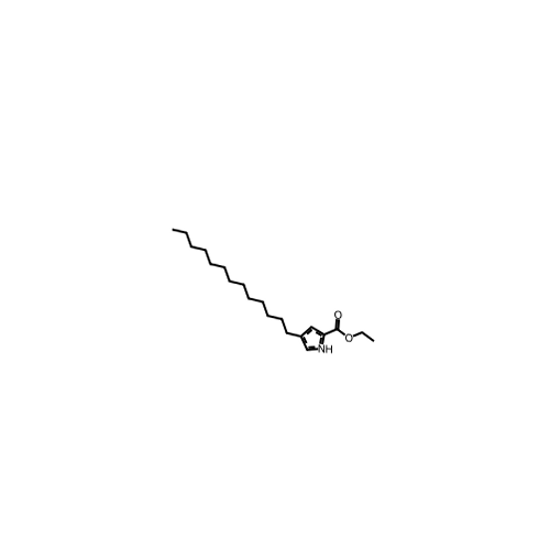 CCCCCCCCCCCCCc1c[nH]c(C(=O)OCC)c1